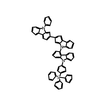 c1ccc(-n2c3ccccc3c3ccc(-c4ccc5c6ccccc6n(-c6cccc7c6c6ccccc6n7-c6ccc([Si](c7ccccc7)(c7ccccc7)c7ccccc7)cc6)c5c4)cc32)cc1